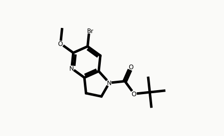 COc1nc2c(cc1Br)N(C(=O)OC(C)(C)C)CC2